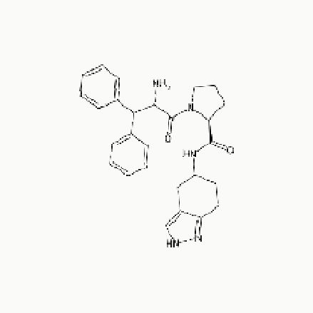 NC(C(=O)N1CCC[C@H]1C(=O)NC1CCc2n[nH]cc2C1)C(c1ccccc1)c1ccccc1